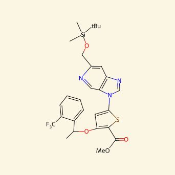 COC(=O)c1sc(-n2cnc3cc(CO[Si](C)(C)C(C)(C)C)ncc32)cc1OC(C)c1ccccc1C(F)(F)F